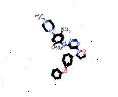 COc1cc(N2CCN(C)CC2)c([N+](=O)[O-])cc1Nc1cc(N2OCC[C@@H]2c2cccc(Oc3ccccc3)c2)ncn1